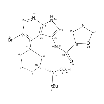 CC(C)(C)N(C(=O)O)[C@@H]1CCCN(c2c(Br)cnc3[nH]cc(NC(=O)C4CCCO4)c23)C1